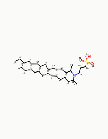 CCCCCCCCCCCCCC(C)N(CCCS(=O)(=O)O)C(C)CCCCCCCCCCCCC